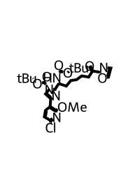 COc1nc(Cl)ccc1-c1cn(C(=O)OC(C)(C)C)c(C(CCCCCC(=O)c2ncco2)NC(=O)OC(C)(C)C)n1